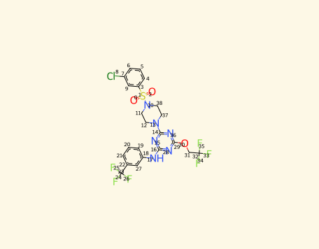 O=S(=O)(c1cccc(Cl)c1)N1CCN(c2nc(Nc3cccc(C(F)(F)F)c3)nc(OCC(F)(F)F)n2)CC1